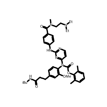 CCC(C)NC(=O)CCc1ccc(N(C(=O)Oc2c(C)cccc2C)c2ccnc(Nc3ccc(C(=O)N(C)CCN(CC)CC)cc3)n2)c(OC)c1